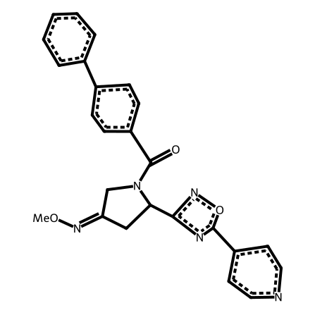 CON=C1CC(c2noc(-c3ccncc3)n2)N(C(=O)c2ccc(-c3ccccc3)cc2)C1